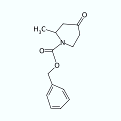 CC1CC(=O)CCN1C(=O)OCc1ccccc1